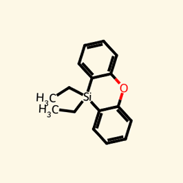 CC[Si]1(CC)c2ccccc2Oc2ccccc21